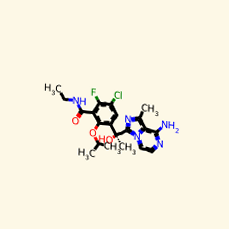 CCNC(=O)c1c(F)c(Cl)cc([C@](C)(O)c2nc(C)c3c(N)nccn23)c1OC(C)C